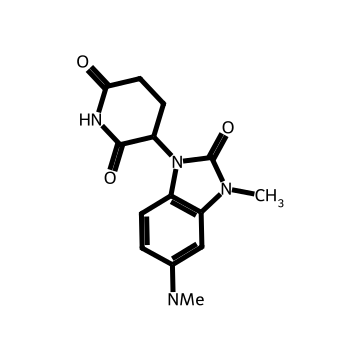 CNc1ccc2c(c1)n(C)c(=O)n2C1CCC(=O)NC1=O